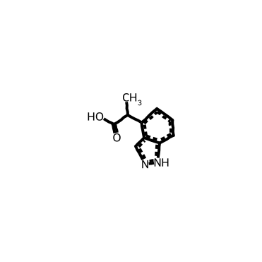 CC(C(=O)O)c1cccc2[nH]ncc12